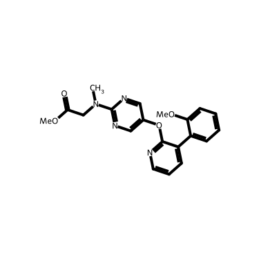 COC(=O)CN(C)c1ncc(Oc2ncccc2-c2ccccc2OC)cn1